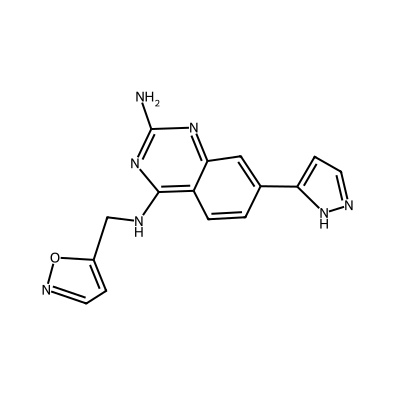 Nc1nc(NCc2ccno2)c2ccc(-c3ccn[nH]3)cc2n1